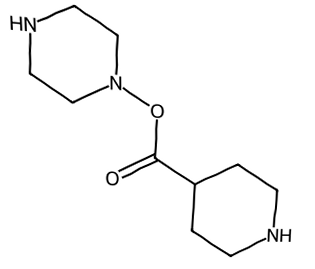 O=C(ON1CCNCC1)C1CCNCC1